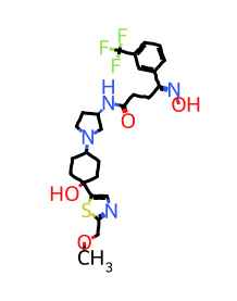 COCc1ncc(C2(O)CCC(N3CC[C@@H](NC(=O)CC/C(=N\O)c4cccc(C(F)(F)F)c4)C3)CC2)s1